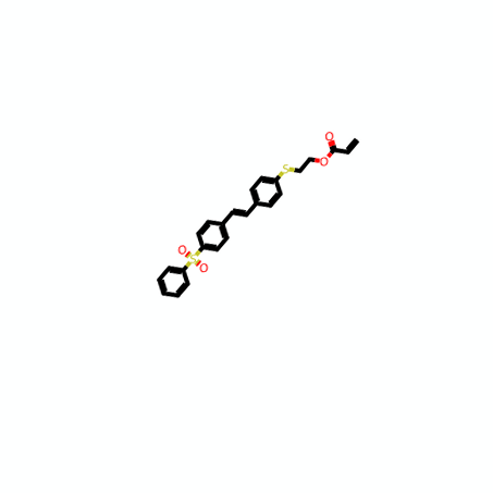 C=CC(=O)OCCSc1ccc(C=Cc2ccc(S(=O)(=O)c3ccccc3)cc2)cc1